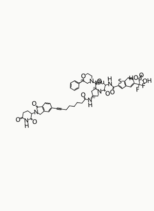 CC(C)(C)C(NC(=O)c1cc2cc(C(F)(F)P(=O)(O)O)ccc2s1)C(=O)N1C[C@@H](NC(=O)CCCCCC#Cc2ccc3c(c2)CN(C2CCC(=O)NC2=O)C3=O)C[C@H]1C(=O)N1CCO[C@H](c2ccccc2)C1